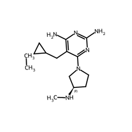 CC.CN[C@@H]1CCN(c2nc(N)nc(N)c2CC2CC2)C1